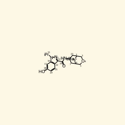 CCCCN1C2COCC1CC(NC(=O)c1nn(C(C)C)c3cc(O)ccc13)C2